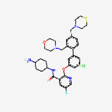 Cl.NC1CCC(NC(=O)c2cc(F)cnc2Oc2cccc(-c3ccc(CN4CCSCC4)cc3CN3CCOCC3)c2)CC1